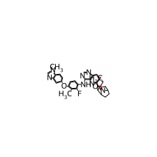 C=CC(=O)N1C2CCC1CN(c1ccc3ncnc(Nc4ccc(Oc5ccc6c(c5)ncn6C)c(C)c4F)c3n1)C2